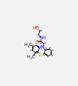 Cc1ccc(Sc2ccccc2NCC(=O)NCCO)c(C)c1